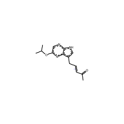 CC(=O)/C=C/Cc1c[nH]c2ncc(OC(C)C)nc12